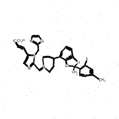 Cc1ccc(C2(C)Oc3cccc(C4CCN(Cc5ncc(/C=C/C(=O)O)n5Cc5ncco5)CC4)c3O2)c(F)c1